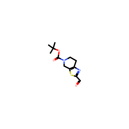 CC(C)(C)OC(=O)N1CCc2nc(C=O)sc2C1